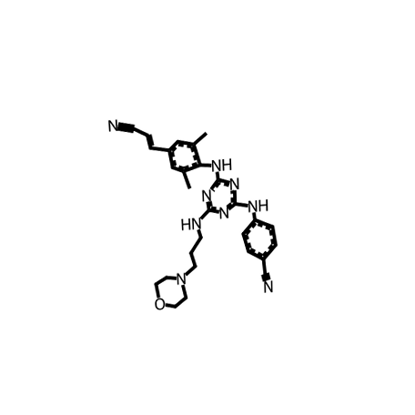 Cc1cc(C=CC#N)cc(C)c1Nc1nc(NCCCN2CCOCC2)nc(Nc2ccc(C#N)cc2)n1